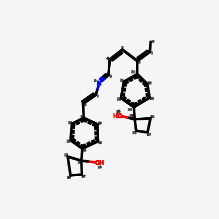 C\C=C(/C=C\C=N\C=C\c1ccc(C2(O)CCC2)cc1)c1ccc(C2(O)CCC2)cc1